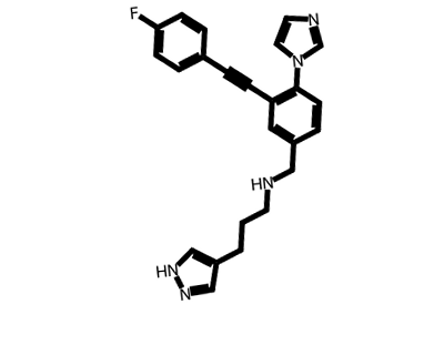 Fc1ccc(C#Cc2cc(CNCCCc3cn[nH]c3)ccc2-n2ccnc2)cc1